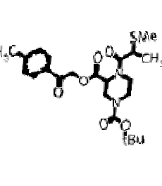 CSC(C)C(=O)N1CCN(C(=O)OC(C)(C)C)CC1C(=O)OCC(=O)c1ccc(C)cc1